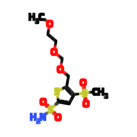 COCCOCOCc1sc(S(N)(=O)=O)cc1S(C)(=O)=O